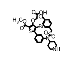 COC(=O)c1sc(-c2cccc(N(C3CCNCC3)S(=O)(=O)Cc3ccc(Cl)cc3)c2)c(Br)c1OCC(=O)O